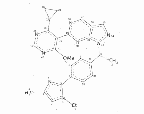 CCn1cc(C)nc1-c1ccc([C@@H](C)n2ncc3cnc(-c4c(OC)ncnc4C4CC4)nc32)cc1